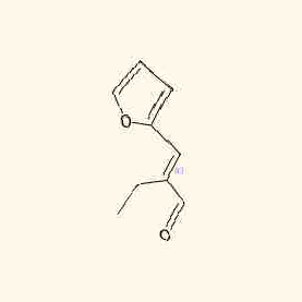 CC/C(C=O)=C\c1ccco1